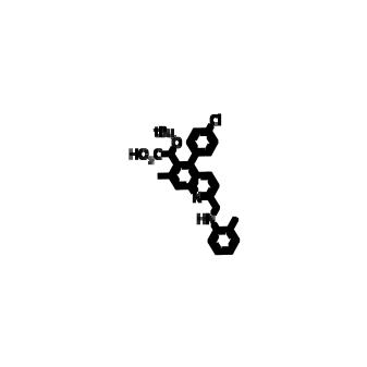 Cc1ccccc1NCc1ccc2c(-c3ccc(Cl)cc3)c(C(OC(C)(C)C)C(=O)O)c(C)cc2n1